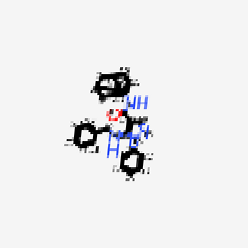 O=C(NC1C2CC3CC(C2)CC1C3)c1cnn(-c2ccccc2)c1NCc1ccccc1